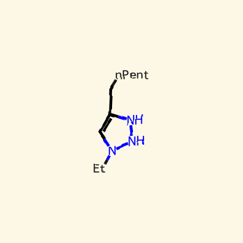 CCCCCCC1=CN(CC)NN1